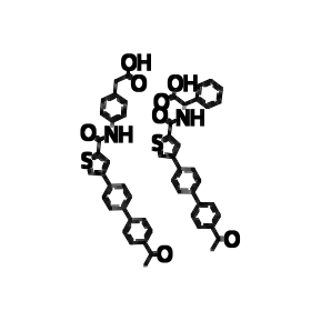 CC(=O)c1ccc(-c2ccc(-c3csc(C(=O)N[C@H](C(=O)O)c4ccccc4)c3)cc2)cc1.CC(=O)c1ccc(-c2ccc(-c3csc(C(=O)Nc4ccc(CC(=O)O)cc4)c3)cc2)cc1